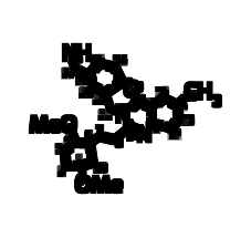 COc1ccc(OC)c(C=Cc2nc3ccc(C)cc3c(=O)n2Cc2cccc(CN)c2)c1